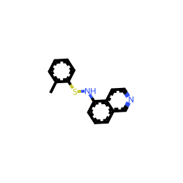 Cc1ccccc1SNc1cccc2cnccc12